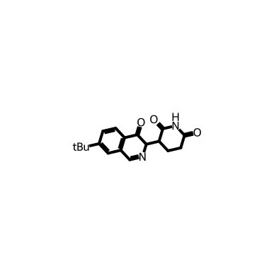 CC(C)(C)c1ccc2c(c1)C=NC(C1CCC(=O)NC1=O)C2=O